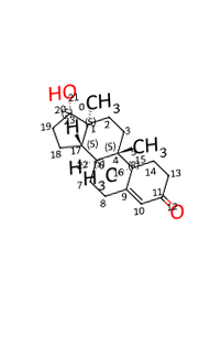 C[C@]12CC[C@@]3(C)[C@@H](CCC4=CC(=O)CC[C@@]43C)[C@@H]1CC[C@@H]2O